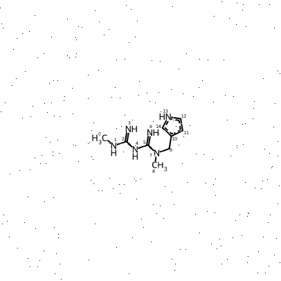 CNC(=N)NC(=N)N(C)Cc1cc[nH]c1